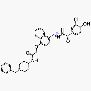 O=C(COc1ccc(/C=N/NC(=O)c2ccc(O)c(Cl)c2)c2ccccc12)NC1CCN(Cc2ccccc2)CC1